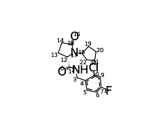 O=C(NCc1ccc(F)cc1Cl)[C@@H]1CCC(=O)N1C1CCCC1